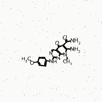 CCn1c(N)c(C(N)=O)c(=O)c2cnc(Nc3ccc(OC)cc3)nc21